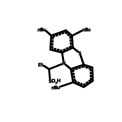 CCCCc1cc(CCCC)c2c(c1)N(C(CC)S(=O)(=O)O)c1c(CCCC)cccc1S2